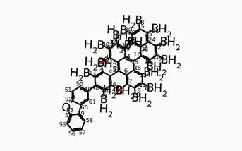 Bc1c(B)c(-c2c3c(B)c(B)c(B)c(B)c3c(-c3c(B)c(B)c(B)c4c(B)c(B)c(B)c(B)c34)c3c(B)c(B)c(B)c(B)c23)c(B)c(B)c1-c1ccc2oc3ccccc3c2c1